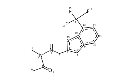 CC(=O)N(C)NCc1cc2cccc(C(F)(F)F)c2s1